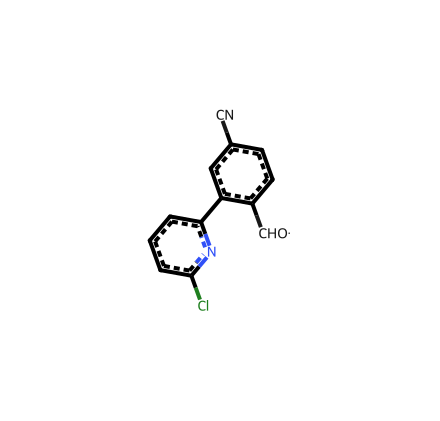 N#Cc1ccc([C]=O)c(-c2cccc(Cl)n2)c1